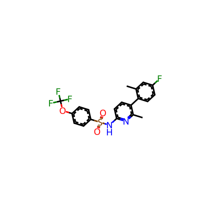 Cc1cc(F)ccc1-c1ccc(NS(=O)(=O)c2ccc(OC(F)(F)F)cc2)nc1C